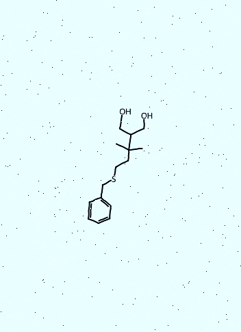 CC(C)(CCSCc1ccccc1)C(CO)CO